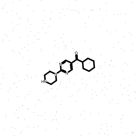 O=C(c1cnc(N2CCNCC2)nc1)C1CCCCC1